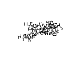 C=CC(O)Nc1cc(Nc2nccc(Nc3cc(Cl)c(F)cc3C(C)(C)O)n2)c(OC)cc1N1CC2CN(C)C2C1